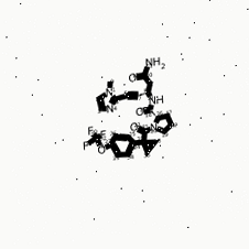 Cn1ccnc1C#C[C@H](CC(N)=O)NC(=O)[C@@H]1CCCN1C(=O)C1(c2ccc(OC(F)(F)F)cc2)CC1